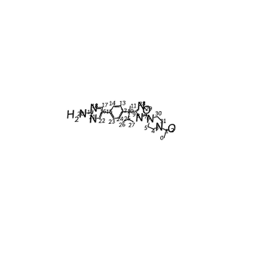 CC(=O)N1CCN(c2nc(C(C)(c3ccc(-c4cnc(N)nc4)cc3)C(C)C)no2)CC1